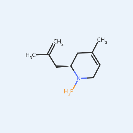 C=C(C)C[C@H]1CC(C)=CCN1P